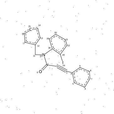 O=C(C#Cc1ccccc1)N(Cc1ccccc1)c1ccccc1I